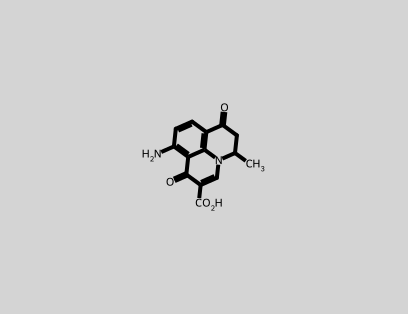 CC1CC(=O)c2ccc(N)c3c(=O)c(C(=O)O)cn1c23